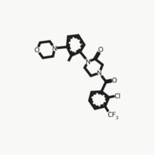 Cc1c(N2CCOCC2)cccc1N1CCN(C(=O)c2cccc(C(F)(F)F)c2Cl)CC1=O